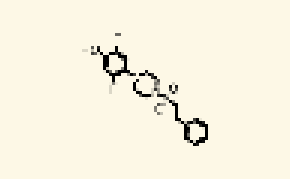 O=S(=O)(CCc1ccccc1)N1CCN(c2cc(F)c(O)cc2F)CC1